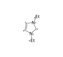 CCN1[CH]N(CC)C=C1